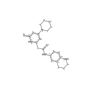 O=C(Cc1nc(N2CCOCC2)cc(=O)[nH]1)Nc1ccc2c(c1)CCCN2